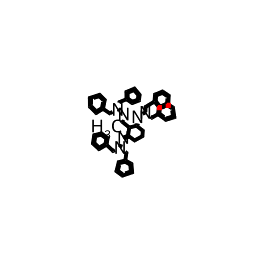 CC(=NN(Cc1ccccc1)Cc1ccccc1)C1C(=NN(Cc2ccccc2)Cc2ccccc2)CCCC1=NN(Cc1ccccc1)Cc1ccccc1